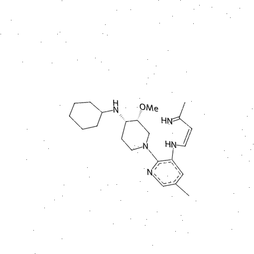 CO[C@@H]1CN(c2ncc(C)cc2N/C=C\C(C)=N)CC[C@@H]1NC1CCCCC1